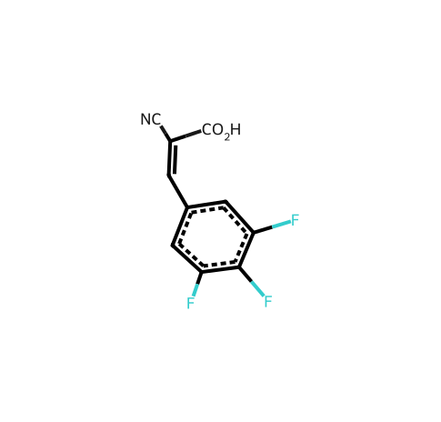 N#CC(=Cc1cc(F)c(F)c(F)c1)C(=O)O